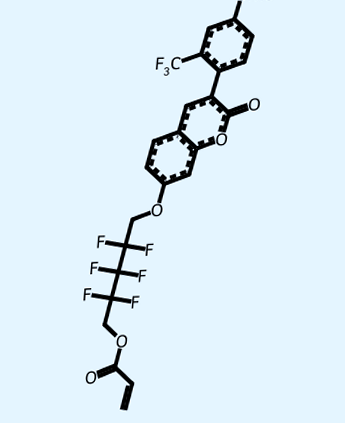 C=CC(=O)OCC(F)(F)C(F)(F)C(F)(F)COc1ccc2cc(-c3ccc(OC)cc3C(F)(F)F)c(=O)oc2c1